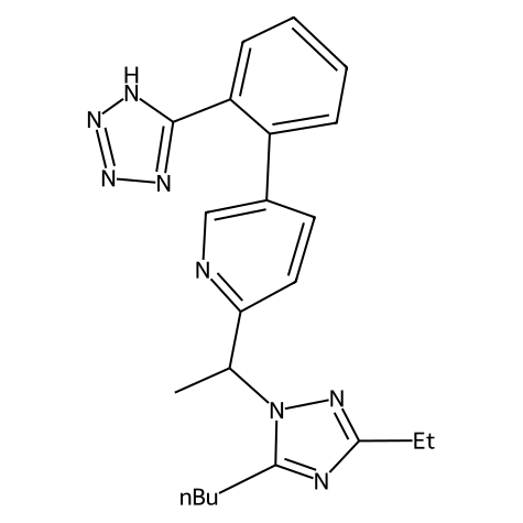 CCCCc1nc(CC)nn1C(C)c1ccc(-c2ccccc2-c2nnn[nH]2)cn1